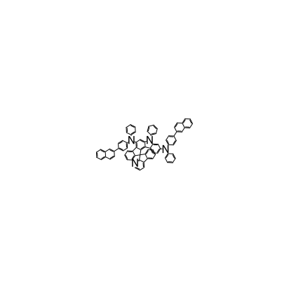 c1ccc(N(c2ccc(-c3ccc4ccccc4c3)cc2)c2ccc3c4c5c(c(N(c6ccccc6)c6ccc(-c7ccc8ccccc8c7)cc6)cc4n(-c4ccccc4)c3c2)-c2ccccc2C52c3ccccc3-c3cccnc32)cc1